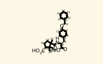 COC(=O)[C@H](Cc1ccc(OCc2ccccc2)cc1)NC(=O)C1(C)CCC(C(=O)O)C1(C)C